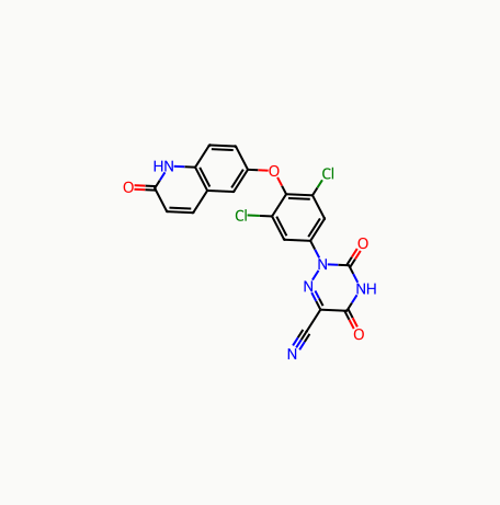 N#Cc1nn(-c2cc(Cl)c(Oc3ccc4[nH]c(=O)ccc4c3)c(Cl)c2)c(=O)[nH]c1=O